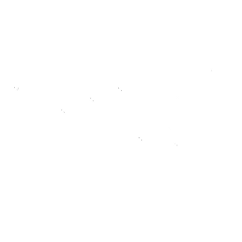 Cc1cc(N/C=C(\C=N)CN2CC(CO)NC(c3ccc4c(c3C)COC4=O)C2)ncc1C#N